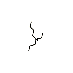 [CH2]CCN(C[CH2])CCCC